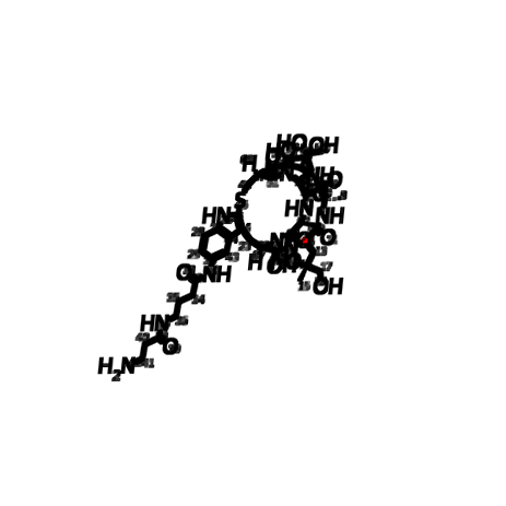 CC(O)[C@H]1NC(=O)[C@H](C)NC(=O)C(C[C@@](C)(O)CO)NC(=O)[C@@H]2Cc3c([nH]c4ccc(NC(=O)CCCNC(=O)CCN)cc34)SC[C@@H](NC1=O)C(=O)N1C[C@H](O)C[C@H]1C(=O)N[C@@H](C)C(=O)N2